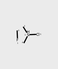 CF.C[SiH](C)Cl